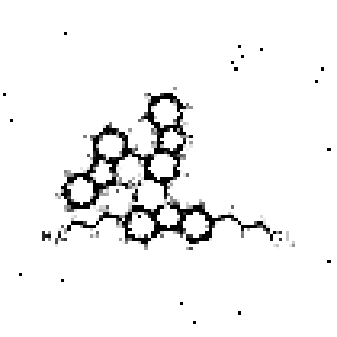 CCCCc1ccc2c3ccc(CCCC)c4c3n(c2c1)-c1cc2oc3ccccc3c2c2c1B4n1c3ccccc3c3cccc-2c31